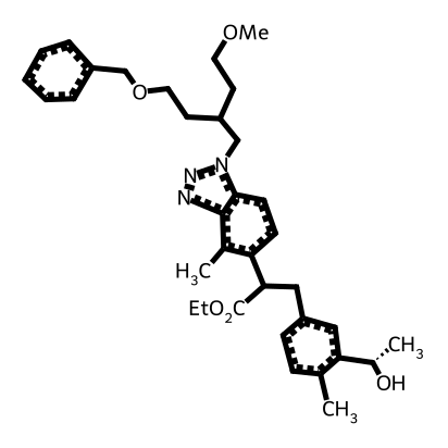 CCOC(=O)C(Cc1ccc(C)c([C@H](C)O)c1)c1ccc2c(nnn2CC(CCOC)CCOCc2ccccc2)c1C